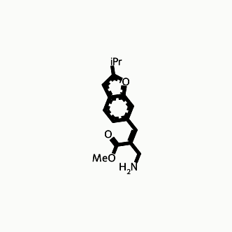 COC(=O)/C(=C\c1ccc2cc(C(C)C)oc2c1)CN